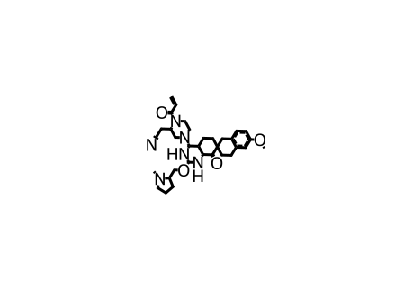 C=CC(=O)N1CCN(C2NC(OCC3CCCN3C)NC3C(=O)C4(CCc5cc(OC)ccc5C4)CCC32)CC1CC#N